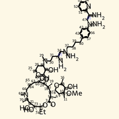 CC[C@H]1OC(=O)[C@H](C)[C@@H](C2C[C@@](C)(OC)[C@@H](O)[C@H](C)O2)[C@H](C)[C@@H](O[C@@H]2O[C@H](C)C[C@H](N(C)CC/C(N)=C/N(N)CCCCc3ccc(N(N)/C=C(\N)c4ccccn4)cc3)[C@H]2O)[C@](C)(O)C[C@@H](C)CN(C)[C@H](C)[C@@H](O)[C@]1(C)O